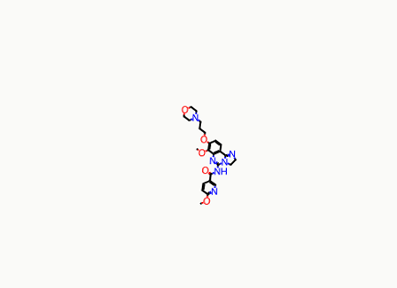 COc1ccc(C(=O)NC2=Nc3c(ccc(OCCCN4CCOCC4)c3OC)C3=NCCN23)cn1